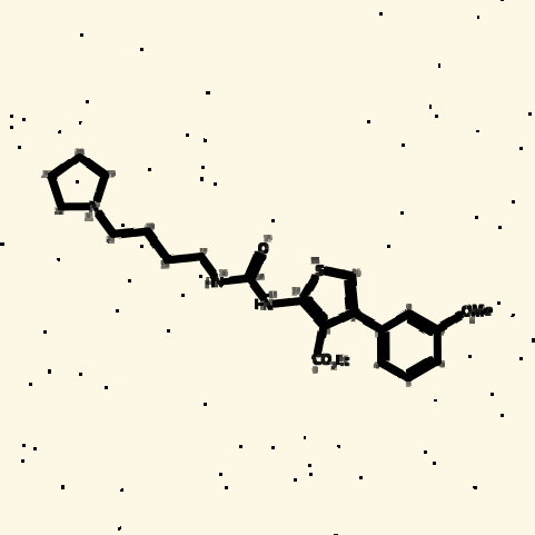 CCOC(=O)c1c(-c2cccc(OC)c2)csc1NC(=O)NCCCCN1CCCC1